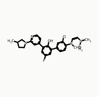 CC1CCN(c2cc(-c3cc(F)cc(-c4ccc(N(C=O)/C=C\N(C)C)c(Cl)c4)c3O)ccn2)C1